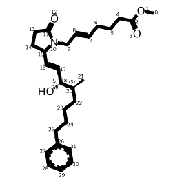 COC(=O)CCCC=CCN1C(=O)CCC1C=C[C@@H](O)[C@@H](C)CCCCc1ccccc1